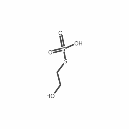 O=S(=O)(O)SCCO